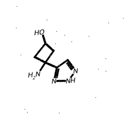 NC1(c2cn[nH]n2)CC(O)C1